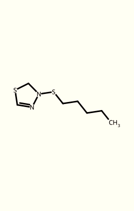 CCCCCSN1CSC=N1